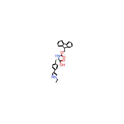 CCn1cc(-c2ccc(C[C@H](NC(=O)OCC3c4ccccc4-c4ccccc43)C(=O)O)cc2)cn1